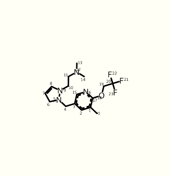 Cc1cc(CN2CC=CN2CCN(C)C)cnc1OCC(F)(F)F